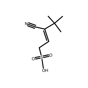 CC(C)(C)/C(C#N)=C/CS(=O)(=O)O